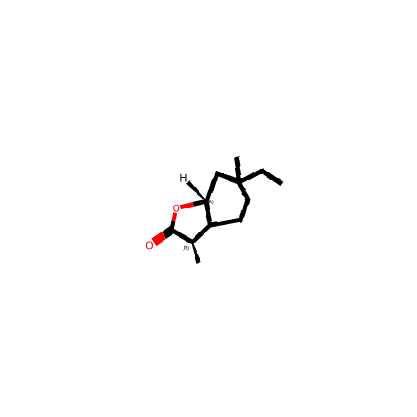 CCC1(C)CCC2[C@@H](C1)OC(=O)[C@@H]2C